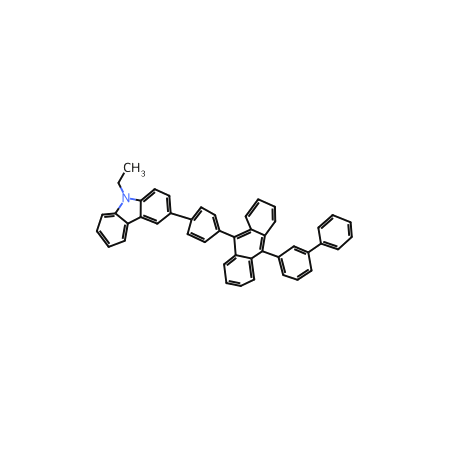 CCn1c2ccccc2c2cc(-c3ccc(-c4c5ccccc5c(-c5cccc(-c6ccccc6)c5)c5ccccc45)cc3)ccc21